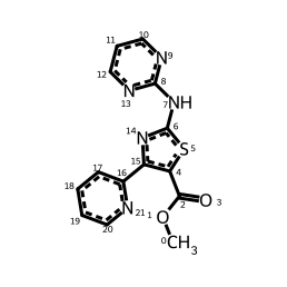 COC(=O)c1sc(Nc2ncccn2)nc1-c1ccccn1